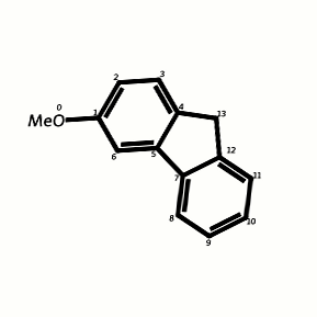 COc1ccc2c(c1)-c1ccccc1C2